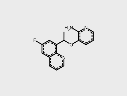 CC(Oc1cccnc1N)c1cc(F)cc2cccnc12